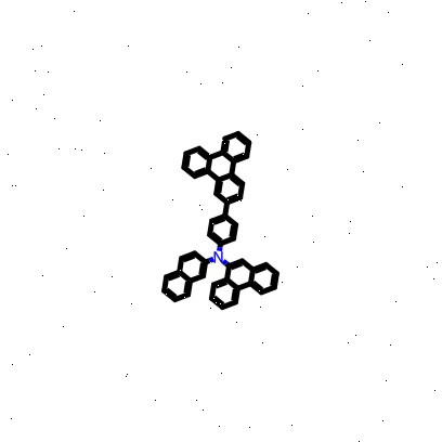 c1ccc2cc(N(c3ccc(-c4ccc5c6ccccc6c6ccccc6c5c4)cc3)c3cc4ccccc4c4ccccc34)ccc2c1